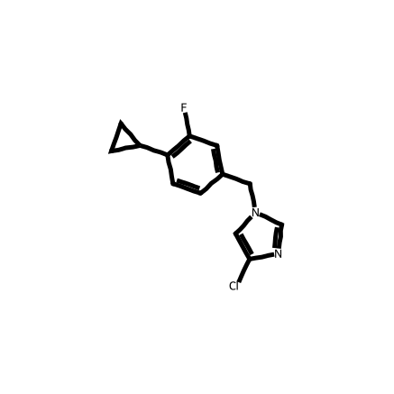 Fc1cc(Cn2cnc(Cl)c2)ccc1C1CC1